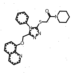 O=C(CSc1nnc(COc2cccc3cccnc23)n1-c1ccccc1)N1CCCCC1